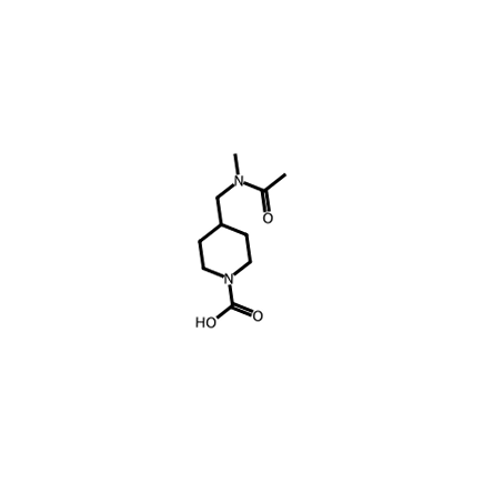 CC(=O)N(C)CC1CCN(C(=O)O)CC1